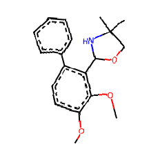 COc1ccc(-c2ccccc2)c(C2NC(C)(C)CO2)c1OC